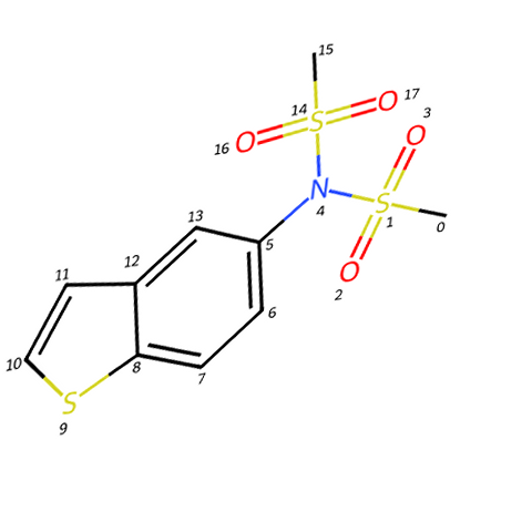 CS(=O)(=O)N(c1ccc2sccc2c1)S(C)(=O)=O